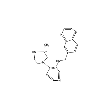 C[C@@H]1CN(c2ccncc2NCc2ccc3nccnc3c2)CCN1